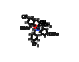 COc1ccc2c(c1)C(C)(C)C1(C=Cc3cc(N=O)cc(OC)c3O1)N2Cc1ccc(C(F)(F)F)cc1